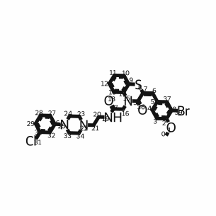 COc1ccc(/C=C2/Sc3ccccc3N(CC(=O)NCCN3CCN(c4cccc(Cl)c4)CC3)C2=O)cc1Br